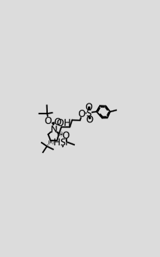 Cc1ccc(S(=O)(=O)OCCCC(O)[C@@]2(O[SiH](C)C)C[C@H](C(C)(C)C)CN2C(=O)OC(C)(C)C)cc1